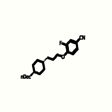 CCCCCCCCCC[C@H]1CC[C@H](CCCOc2ccc(C#N)cc2F)CC1